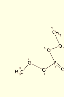 COO[P](=O)OOC